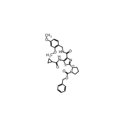 COc1ccc(CNC(=O)c2nc([C@H]3CCCN3C(=O)OCc3ccccc3)sc2NC(=O)C2CC2)c(OC)c1